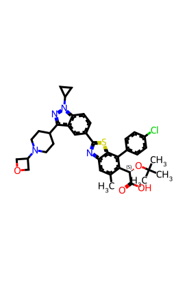 Cc1cc2nc(-c3ccc4c(c3)c(C3CCN(C5COC5)CC3)nn4C3CC3)sc2c(-c2ccc(Cl)cc2)c1[C@H](OC(C)(C)C)C(=O)O